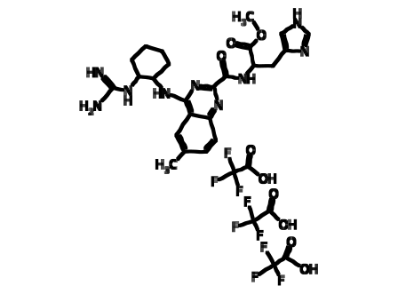 COC(=O)C(Cc1c[nH]cn1)NC(=O)c1nc(NC2CCCCC2NC(=N)N)c2cc(C)ccc2n1.O=C(O)C(F)(F)F.O=C(O)C(F)(F)F.O=C(O)C(F)(F)F